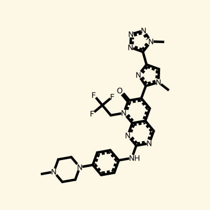 CN1CCN(c2ccc(Nc3ncc4cc(-c5nc(-c6nnnn6C)cn5C)c(=O)n(CC(F)(F)F)c4n3)cc2)CC1